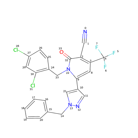 N#Cc1c(C(F)(F)F)cc(-c2cnn(Cc3ccccc3)c2)n(Cc2ccc(Cl)cc2Cl)c1=O